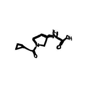 O=C(O)NC1CCN(C(=O)C2CC2)C1